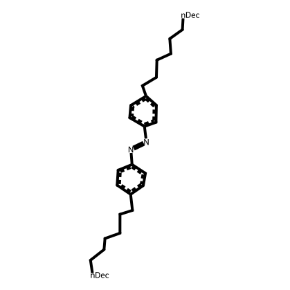 CCCCCCCCCCCCCCCCc1ccc(/N=N/c2ccc(CCCCCCCCCCCCCCCC)cc2)cc1